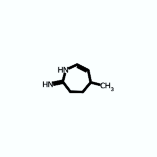 CC1C=CNC(=N)CC1